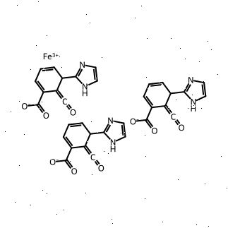 O=C=C1C(C(=O)[O-])=CC=CC1c1ncc[nH]1.O=C=C1C(C(=O)[O-])=CC=CC1c1ncc[nH]1.O=C=C1C(C(=O)[O-])=CC=CC1c1ncc[nH]1.[Fe+3]